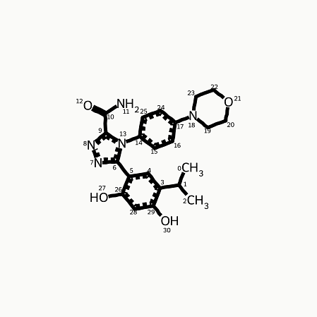 CC(C)c1cc(-c2nnc(C(N)=O)n2-c2ccc(N3CCOCC3)cc2)c(O)cc1O